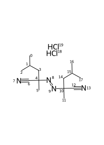 CC(C)CC(C)(C#N)N=NC(C)(C#N)CC(C)C.Cl.Cl